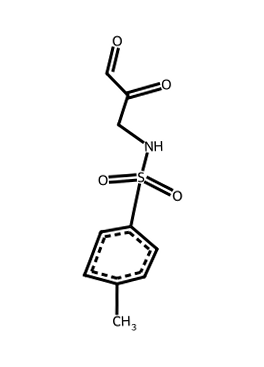 Cc1ccc(S(=O)(=O)NCC(=O)C=O)cc1